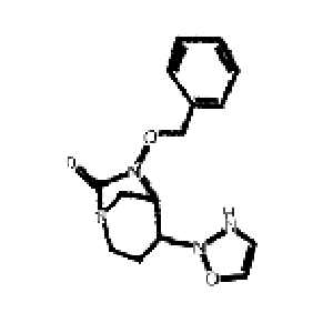 O=C1N2CCC(N3NC=CO3)C(C2)N1OCc1ccccc1